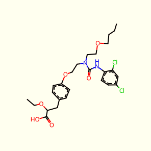 CCCCOCCN(CCOc1ccc(CC(OCC)C(=O)O)cc1)C(=O)Nc1ccc(Cl)cc1Cl